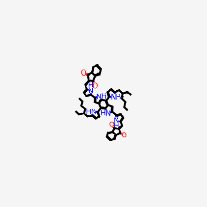 CCCCC(CC)Cc1ccc(-c2c3cc(-c4ccc(C=C5C(=O)c6ccccc6C5=O)[nH]4)[nH]c3c(-c3ccc(CC(CC)CCCC)[nH]3)c3cc(-c4ccc(C=C5C(=O)c6ccccc6C5=O)[nH]4)[nH]c23)[nH]1